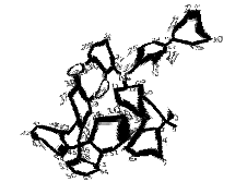 CC1(C)c2ccccc2-c2ccc(N(c3ccc(-c4ccccc4)cc3)c3cccc4c3Oc3cc5c(cc3O4)-c3ccccc3C53c4ccccc4-c4ccccc43)cc21